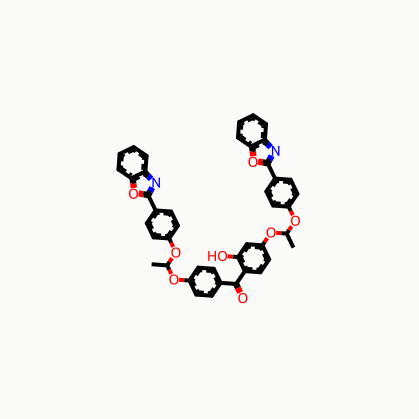 CC(Oc1ccc(C(=O)c2ccc(OC(C)Oc3ccc(-c4nc5ccccc5o4)cc3)cc2O)cc1)Oc1ccc(-c2nc3ccccc3o2)cc1